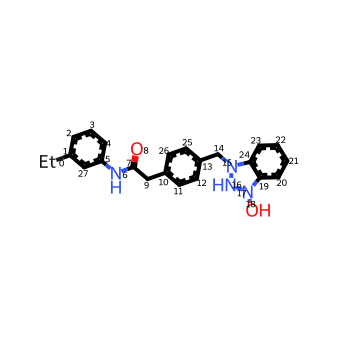 CCc1cccc(NC(=O)Cc2ccc(CN3NN(O)c4ccccc43)cc2)c1